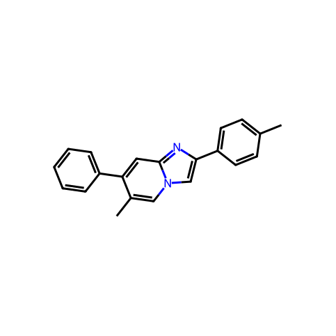 Cc1ccc(-c2cn3cc(C)c(-c4ccccc4)cc3n2)cc1